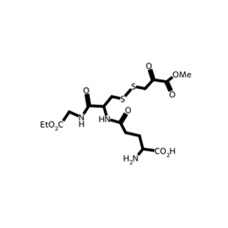 CCOC(=O)CNC(=O)C(CSSCC(=O)C(=O)OC)NC(=O)CCC(N)C(=O)O